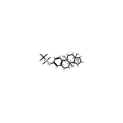 CC(C)(C)[Si](C)(C)Oc1ccc2c(c1)CC[C@@H]1[C@@H]2CC[C@]2(C)CCC[C@@H]12